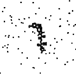 Cc1[nH]c(/C=C2\C(=O)Nc3ccc(F)cc32)c(C)c1C(=O)NCC[C@H](O)C(=O)N1CCC(C)C1